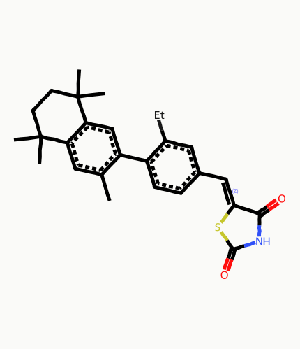 CCc1cc(/C=C2\SC(=O)NC2=O)ccc1-c1cc2c(cc1C)C(C)(C)CCC2(C)C